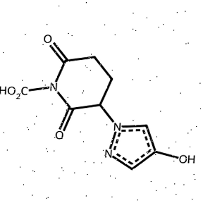 O=C(O)N1C(=O)CCC(n2cc(O)cn2)C1=O